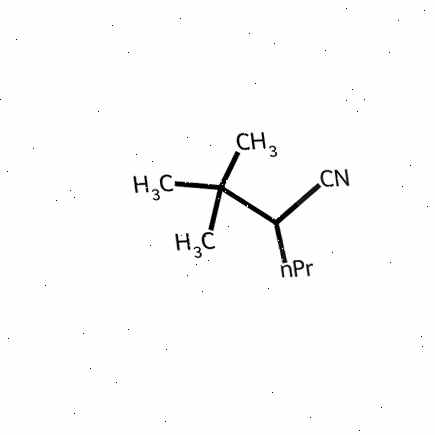 CCCC(C#N)C(C)(C)C